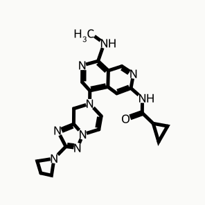 CNc1ncc(N2C=Cn3nc(N4CCC4)nc3C2)c2cc(NC(=O)C3CC3)ncc12